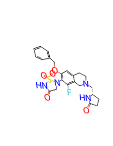 O=C1CC[C@@H](CN2CCc3cc(OCc4ccccc4)c(N4CC(=O)NS4(=O)=O)c(F)c3C2)N1